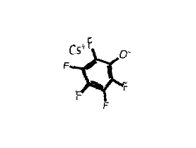 [Cs+].[O-]c1c(F)c(F)c(F)c(F)c1F